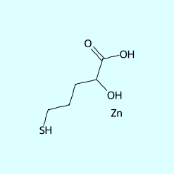 O=C(O)C(O)CCCS.[Zn]